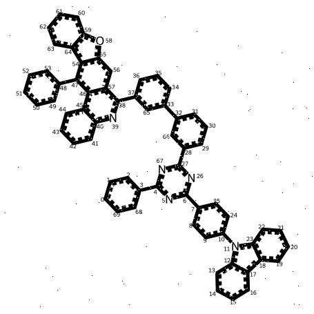 c1ccc(-c2nc(-c3ccc(-n4c5ccccc5c5ccccc54)cc3)nc(-c3cccc(-c4cccc(-c5nc6ccccc6c6c(-c7ccccc7)c7c(cc56)oc5ccccc57)c4)c3)n2)cc1